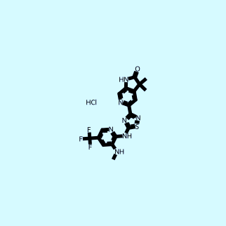 CNc1cc(C(F)(F)F)cnc1Nc1nc(-c2cc3c(cn2)NC(=O)C3(C)C)ns1.Cl